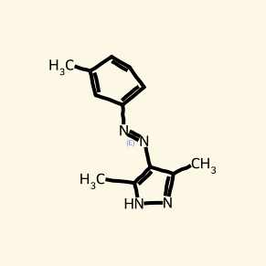 Cc1cccc(/N=N/c2c(C)n[nH]c2C)c1